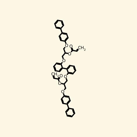 C=CC(=O)OC(COc1ccc(-c2ccccc2)cc1)COc1ccccc1-c1ccccc1OCC(COc1ccc(-c2ccccc2)cc1)OC(=O)C=C